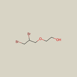 OCCOCC(Br)CBr